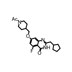 CC(=O)N1CCC(COc2cc(F)c3c(=O)[nH]c(CC4CCCC4)nc3c2)CC1